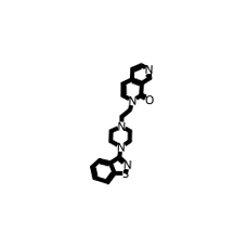 O=c1c2cnccc2ccn1CCN1CCN(c2nsc3ccccc23)CC1